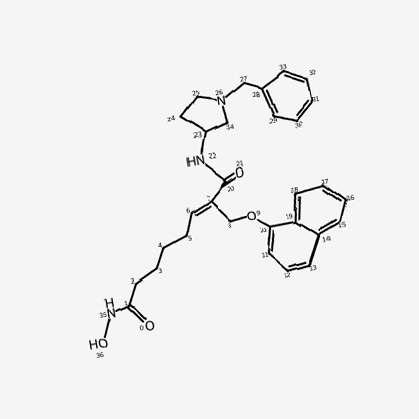 O=C(CCCC/C=C(\COc1cccc2ccccc12)C(=O)NC1CCN(Cc2ccccc2)C1)NO